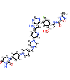 CC(NC(=O)c1nc(C(C)(C)C)no1)c1cc(F)c(-c2ncnc3[nH]c(-c4ccc(N5CCN(CC6CCN(c7ccc(N8CCC(=O)NC8=O)cc7)CC6)CC5)cn4)cc23)cc1CO